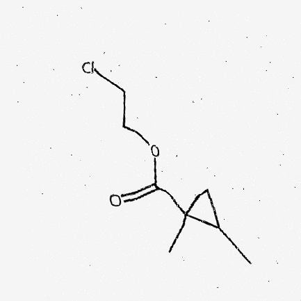 CC1CC1(C)C(=O)OCCCl